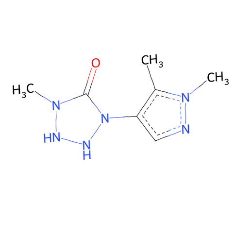 Cc1c(N2NNN(C)C2=O)cnn1C